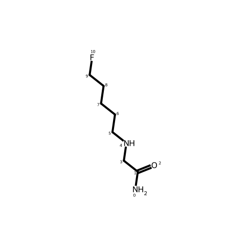 NC(=O)CNCCCCCF